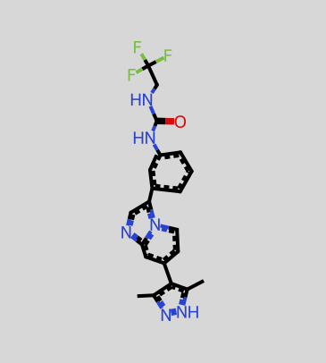 Cc1n[nH]c(C)c1-c1ccn2c(-c3cccc(NC(=O)NCC(F)(F)F)c3)cnc2c1